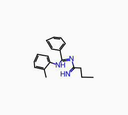 CCCC(=N)/N=C(\Nc1ccccc1C)c1ccccc1